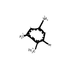 Cc1cc(N)cc(Br)c1C